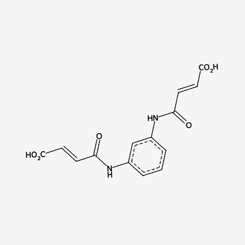 O=C(O)C=CC(=O)Nc1cccc(NC(=O)C=CC(=O)O)c1